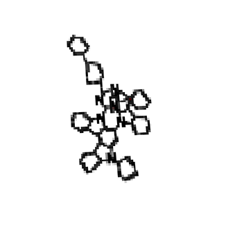 c1ccc(-c2ccc(-c3nc(-c4ccccc4)nc(-n4c5ccccc5c5c6c7ccccc7n(-c7ccccc7)c6cc(-n6c7ccccc7c7ccccc76)c54)n3)cc2)cc1